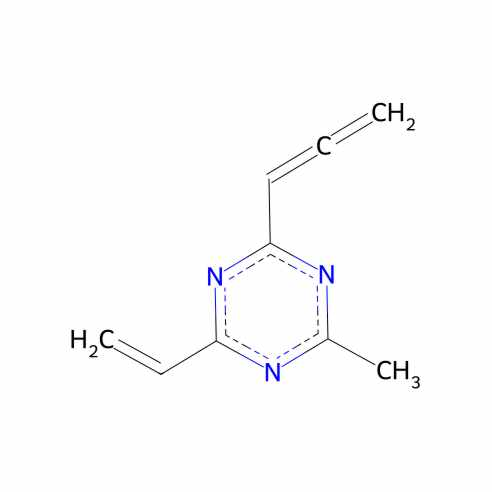 C=C=Cc1nc(C)nc(C=C)n1